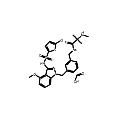 CNC(C)(C)C(=O)NCc1cccc(Cn2nc(NS(=O)(=O)c3ccc(Cl)s3)c3c(OC)cccc32)c1.O=CO